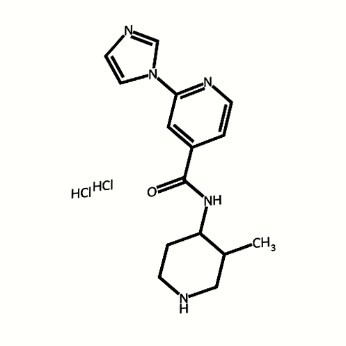 CC1CNCCC1NC(=O)c1ccnc(-n2ccnc2)c1.Cl.Cl